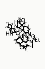 CCC(=O)N[C@H](c1nc2ccc(C3(C(=O)N[C@H]4C(=O)NCC45CCC5)CCOC3)cc2[nH]1)[C@H](c1ccccc1Cl)C1(C)CC1